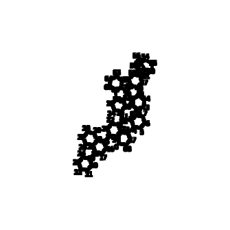 c1ccc(-c2ccccc2N(c2ccc(-c3ccc(-c4ccccc4)c4ccccc34)cc2)c2ccc3c(c2)C2(c4ccccc4-c4cc(C5C6CC7CC(C6)C5C7)ccc42)c2ccccc2-3)cc1